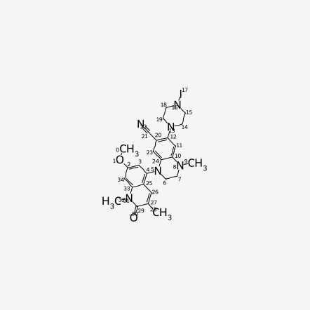 COc1cc(N2CCN(C)c3cc(N4CCN(I)CC4)c(C#N)cc32)c2cc(C)c(=O)n(C)c2c1